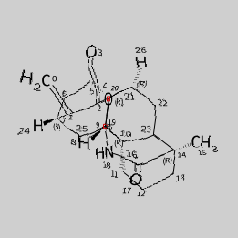 C=C1C(=O)[C@]23CC[C@H]1CC2[C@@]12CCC[C@@]4(C)C(=O)N[C@@H]1O[C@@H]3CC24